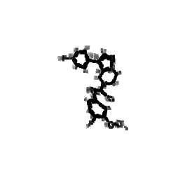 O=C(Nc1ccc(F)c(OC(F)(F)F)c1)N1CCn2ncc(-c3ccc(F)cc3)c2C1